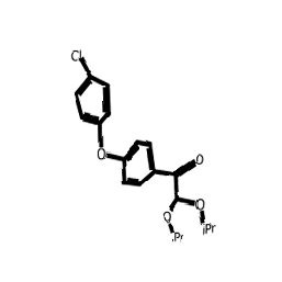 CC(C)OC(OC(C)C)C(=O)c1ccc(Oc2ccc(Cl)cc2)cc1